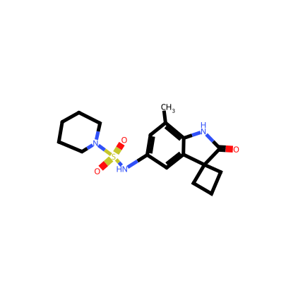 Cc1cc(NS(=O)(=O)N2CCCCC2)cc2c1NC(=O)C21CCC1